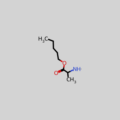 CCCCCOC(=O)C(C)[NH]